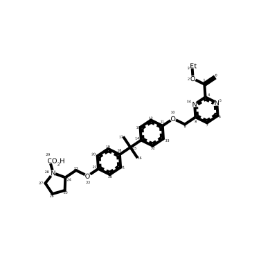 C=C(OCC)c1nccc(COc2ccc(C(C)(C)c3ccc(OCC4CCCN4C(=O)O)cc3)cc2)n1